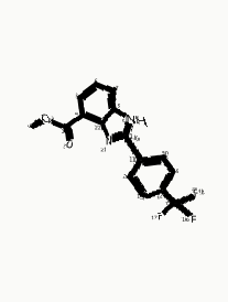 COC(=O)c1cccc2[nH]c(-c3ccc(C(F)(F)F)cc3)nc12